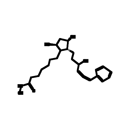 O=C(CCCCCCC1[C@@H](CCC(O)C=C=Cc2ccccc2)[C@H](O)C[C@@H]1O)NO